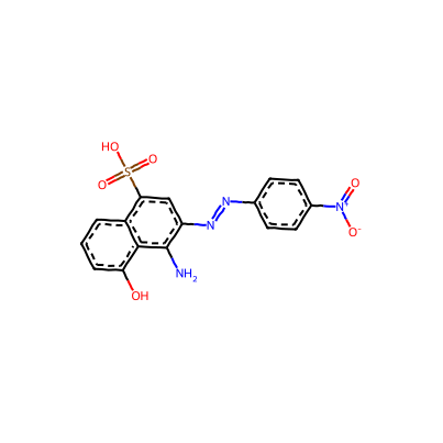 Nc1c(N=Nc2ccc([N+](=O)[O-])cc2)cc(S(=O)(=O)O)c2cccc(O)c12